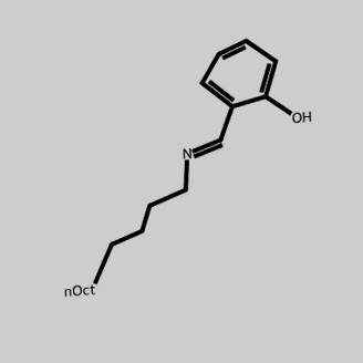 CCCCCCCCCCCCN=Cc1ccccc1O